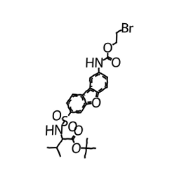 CC(C)C(NS(=O)(=O)c1ccc2c(c1)oc1ccc(NC(=O)OCCBr)cc12)C(=O)OC(C)(C)C